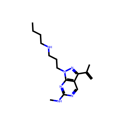 C=C(C)c1nn(CCCNCCCC)c2nc(NC)ncc12